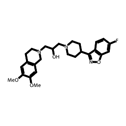 COc1cc2c(cc1OC)CN(CC(O)CN1CCC(c3noc4cc(F)ccc34)CC1)CC2